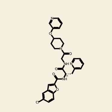 O=C(N[C@@H](Cc1ccccn1)C(=O)NCC(=O)N1CCC(Oc2cccnc2)CC1)c1cc2cc(Cl)ccc2o1